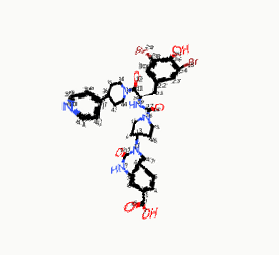 O=C(O)c1ccc2c(c1)NC(=O)N(C1CCN(C(=O)N[C@H](Cc3cc(Br)c(O)c(Br)c3)C(=O)N3CCC(c4ccncc4)CC3)CC1)C2